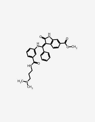 COC(=O)c1ccc2c(c1)NC(=O)/C2=C(\Nc1cccc(C(=O)NCCCN(C)C)c1)c1ccccc1